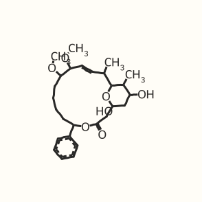 COC1/C=C/C(C)C2OC(O)(CC(=O)OC(c3ccccc3)CCCCC1OC)CC(O)C2C